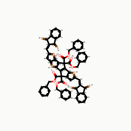 O=C(OCc1ccccc1)C1(C(=O)OCc2ccccc2)C2=C(c3sc(C=C4C(=S)c5ccccc5C4=S)cc31)C(C(=O)OCc1ccccc1)(C(=O)OCc1ccccc1)c1c2sc2cc(C=C3C(=S)c4ccccc4C3=S)sc12